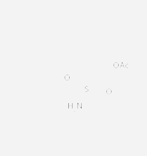 CC(=O)OC(Cc1ccccc1)S(N)(=O)=O